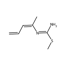 C=C/C=C(C)\N=C(/N)SC